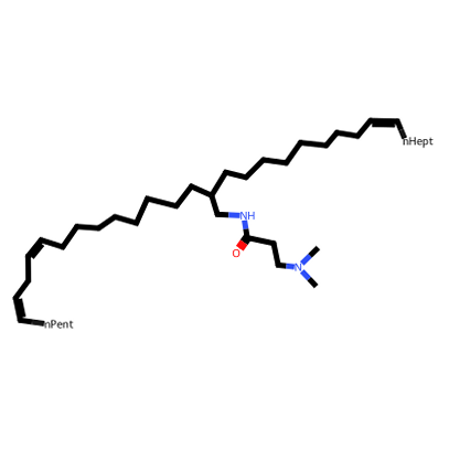 CCCCC/C=C\C/C=C\CCCCCCCCC(CCCCCCCC/C=C\CCCCCCC)CNC(=O)CCN(C)C